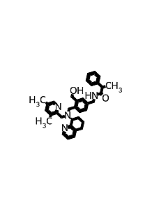 Cc1cnc(CN(Cc2ccc(CNC(=O)C(C)c3ccccc3)cc2CO)[C@H]2CCCc3cccnc32)c(C)c1